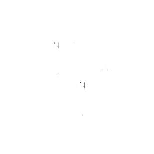 O=c1ccccn1C1CC[N]CC1